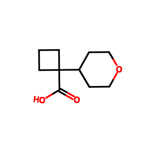 O=C(O)C1(C2CCOCC2)CCC1